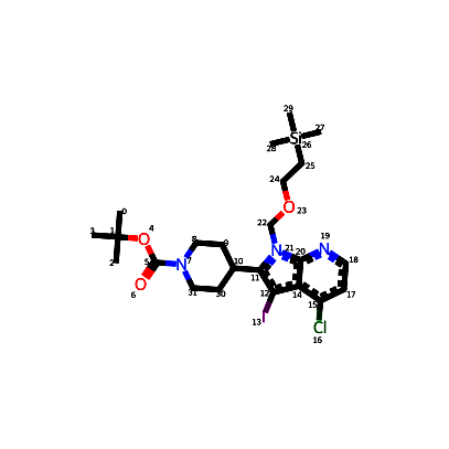 CC(C)(C)OC(=O)N1CCC(c2c(I)c3c(Cl)ccnc3n2COCC[Si](C)(C)C)CC1